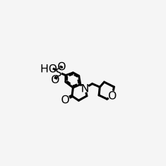 O=C1CCN(CC2CCOCC2)c2ccc(S(=O)(=O)O)cc21